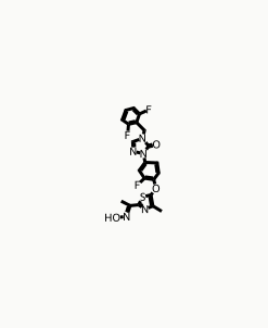 CC(=NO)c1nc(C)c(Oc2ccc(-n3ncn(Cc4c(F)cccc4F)c3=O)cc2F)s1